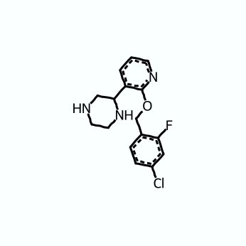 Fc1cc(Cl)ccc1COc1ncccc1C1CNCCN1